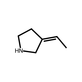 CC=C1CCNC1